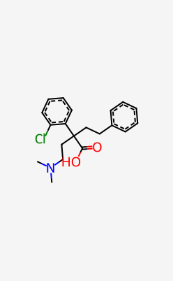 CN(C)CCC(CCc1ccccc1)(C(=O)O)c1ccccc1Cl